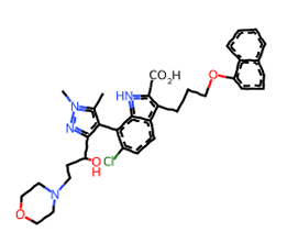 Cc1c(-c2c(Cl)ccc3c(CCCOc4cccc5ccccc45)c(C(=O)O)[nH]c23)c(C(O)CCN2CCOCC2)nn1C